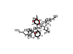 C[Si](C)(CCCS)O[Si](C)(C)O[Si](O[Si](CCC(F)(F)F)(CCC(F)(F)F)O[Si](C)(C)CCCS)(c1ccccc1)c1ccccc1